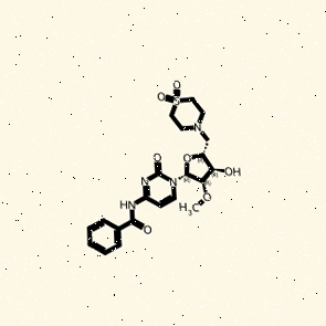 CO[C@@H]1[C@H](O)[C@@H](CN2CCS(=O)(=O)CC2)O[C@H]1n1ccc(NC(=O)c2ccccc2)nc1=O